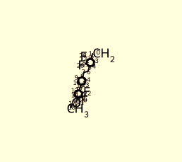 C=Cc1ccc(CCc2ccc(-c3ccc(OCC)c(F)c3F)cc2)c(F)c1F